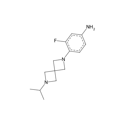 CC(C)N1CC2(CN(c3ccc(N)cc3F)C2)C1